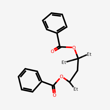 CCC(CC(CC)(CC)OC(=O)c1ccccc1)OC(=O)c1ccccc1